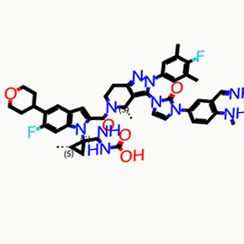 CNc1ccc(-n2ccn(-c3c4c(nn3-c3cc(C)c(F)c(C)c3)CCN(C(=O)c3cc5cc(C6CCOCC6)c(F)cc5n3[C@@]3(C(=N)NC(=O)O)C[C@@H]3C)[C@H]4C)c2=O)cc1C=N